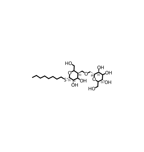 CCCCCCCCS[C@@H]1OC(CO)[C@@H](COC[C@H]2OC(CO)[C@@H](O)C(O)[C@@H]2O)C(O)[C@@H]1O